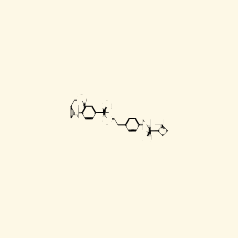 CN1CCOc2cc(C(=O)OCCc3ccc(NC(=O)C4CCC4)cc3)ccc21